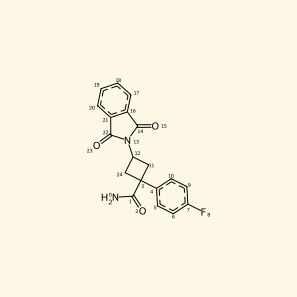 NC(=O)C1(c2ccc(F)cc2)CC(N2C(=O)c3ccccc3C2=O)C1